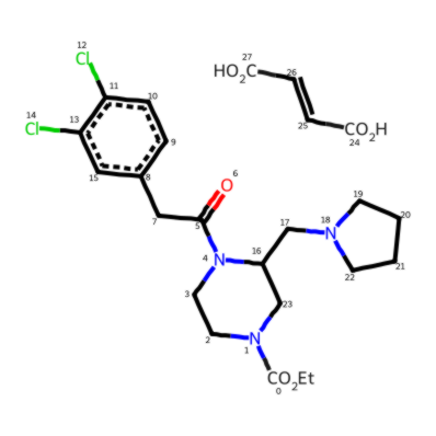 CCOC(=O)N1CCN(C(=O)Cc2ccc(Cl)c(Cl)c2)C(CN2CCCC2)C1.O=C(O)C=CC(=O)O